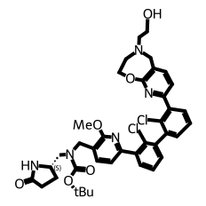 COc1nc(-c2cccc(-c3cccc(-c4ccc5c(n4)OCCN(CCO)C5)c3Cl)c2Cl)ccc1CN(C[C@@H]1CCC(=O)N1)C(=O)OC(C)(C)C